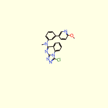 COc1ccc(-c2cccc(N(C)c3nc4nnc(Cl)n4c4ccccc34)c2)cn1